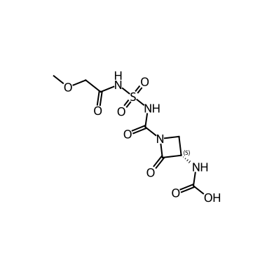 COCC(=O)NS(=O)(=O)NC(=O)N1C[C@H](NC(=O)O)C1=O